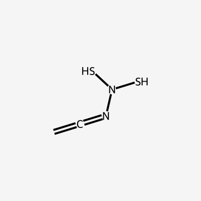 C=C=NN(S)S